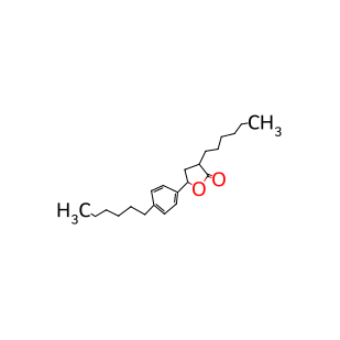 CCCCCCc1ccc(C2CC(CCCCCC)C(=O)O2)cc1